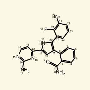 NC(=O)c1ccccc1-c1cc(-c2ccnc(N)n2)[nH]c1-c1cccc(Br)c1F